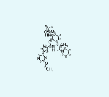 CCOc1cncc(-c2cnc(C(=O)N[C@H](c3cccc(NS(=O)(=O)C(F)F)c3)[C@@H](C)CN3CCCCC3)s2)n1